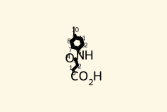 O=C(O)CCC(=O)Nc1ccc(I)cc1